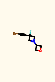 FC1(C#CBr)CN(C2COC2)C1